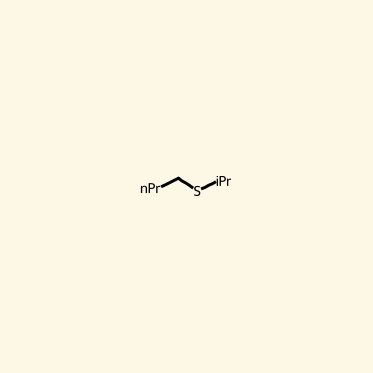 [CH2]CCCSC(C)C